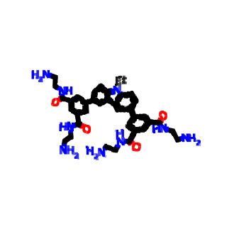 CCn1c2ccc(-c3cc(C(=O)NCCN)cc(C(=O)NCCN)c3)cc2c2cc(-c3cc(C(=O)NCCN)cc(C(=O)NCCN)c3)ccc21